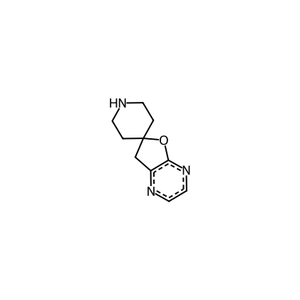 c1cnc2c(n1)CC1(CCNCC1)O2